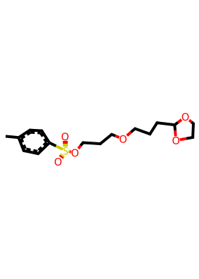 Cc1ccc(S(=O)(=O)OCCCOCCCC2OCCO2)cc1